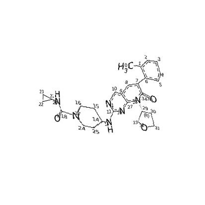 Cc1ccccc1-c1cc2cnc(NC3CCN(C(=O)NC4CC4)CC3)nc2n([C@@H]2CCOC2)c1=O